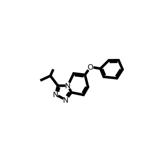 CC(C)c1nnc2ccc(Oc3ccccc3)cn12